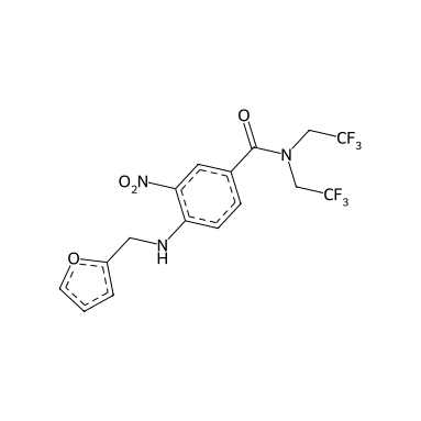 O=C(c1ccc(NCc2ccco2)c([N+](=O)[O-])c1)N(CC(F)(F)F)CC(F)(F)F